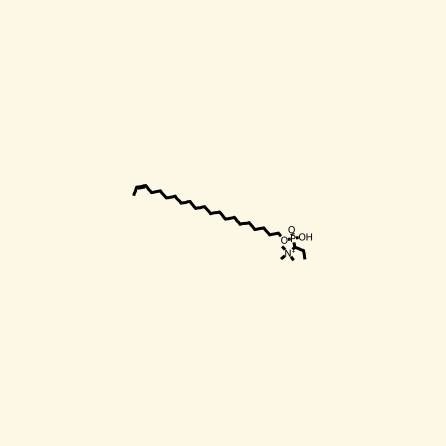 C/C=C\CCCCCCCCCCCCCCCCCCOP(=O)(O)C(CC)[N+](C)(C)C